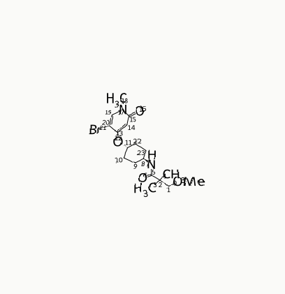 COCC(C)(C)C(=O)N[C@H]1CC[C@H](Oc2cc(=O)n(C)cc2Br)CC1